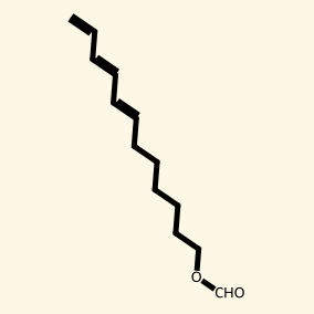 C=CC=CC=CCCCCCCOC=O